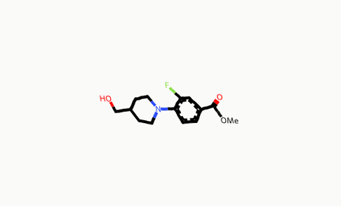 COC(=O)c1ccc(N2CCC(CO)CC2)c(F)c1